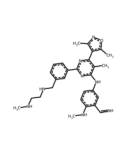 CNCCNCc1cccc(-c2nc(Nc3ccc(NC)c(C=N)c3)c(C)c(-c3c(C)noc3C)n2)c1